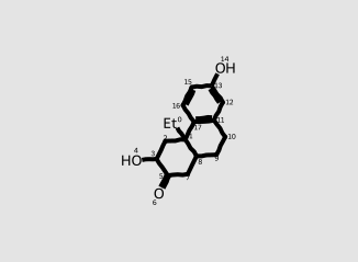 CCC12CC(O)C(=O)CC1CCc1cc(O)ccc12